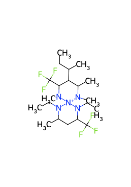 CCC(C)C1C(C)N(C)[N+]2(N(C)C1C(F)(F)F)N(CC)C(C)CC(C(F)(F)F)N2CC